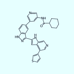 O=C(Nc1cncc(-c2ccc3[nH]nc(-c4cc5c(-c6ccsc6)cncc5[nH]4)c3c2)c1)C1CCCCC1